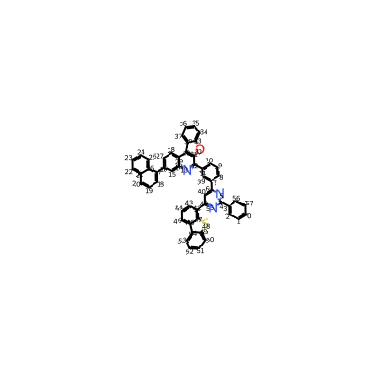 c1ccc(-c2nc(-c3cccc(-c4nc5cc(-c6cccc7ccccc67)ccc5c5c4oc4ccccc45)c3)cc(-c3cccc4c3sc3ccccc34)n2)cc1